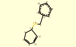 C1=CCC(SCc2ccccc2)C=C1